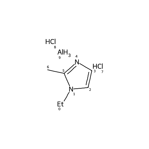 CCn1ccnc1C.Cl.Cl.[AlH3]